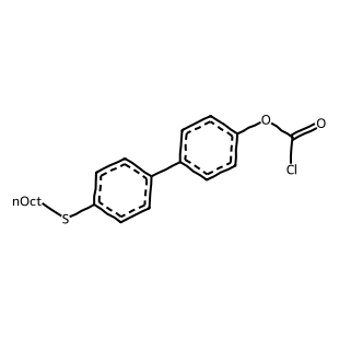 CCCCCCCCSc1ccc(-c2ccc(OC(=O)Cl)cc2)cc1